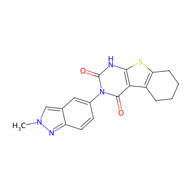 Cn1cc2cc(-n3c(=O)[nH]c4sc5c(c4c3=O)CCCC5)ccc2n1